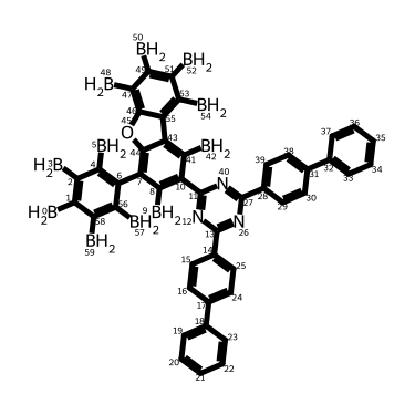 Bc1c(B)c(B)c(-c2c(B)c(-c3nc(-c4ccc(-c5ccccc5)cc4)nc(-c4ccc(-c5ccccc5)cc4)n3)c(B)c3c2oc2c(B)c(B)c(B)c(B)c23)c(B)c1B